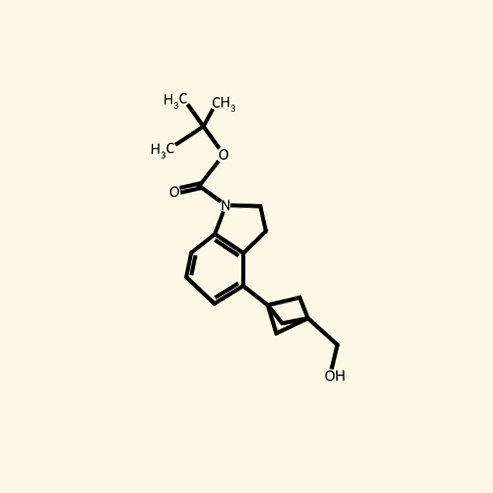 CC(C)(C)OC(=O)N1CCc2c1cccc2C12CC(CO)(C1)C2